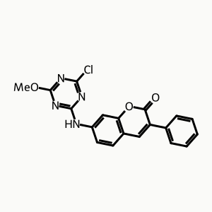 COc1nc(Cl)nc(Nc2ccc3cc(-c4ccccc4)c(=O)oc3c2)n1